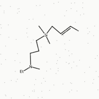 CC=CC[Si](C)(C)CCCN(C)CC